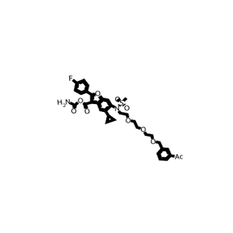 CC(=O)c1cccc(COCCOCCOCCN(c2cc3oc(-c4ccc(F)cc4)c(C(=O)OC(N)=O)c3cc2C2CC2)S(C)(=O)=O)c1